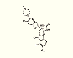 COc1ccc2c(c1F)C(=O)N(C[C@@]1(c3cc4nc(N5CCN(C)CC5)c(F)cc4o3)NC(=O)NC1=O)C2